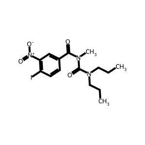 CCCN(CCC)C(=O)N(C)C(=O)c1ccc(I)c([N+](=O)[O-])c1